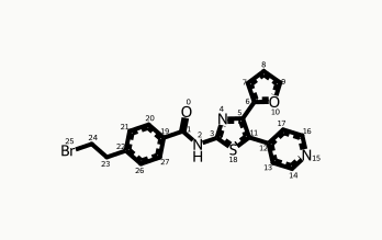 O=C(Nc1nc(-c2ccco2)c(-c2ccncc2)s1)c1ccc(CCBr)cc1